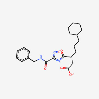 O=C(O)C[C@@H](CCCC1CCCCC1)c1nc(C(=O)NCc2ccccc2)no1